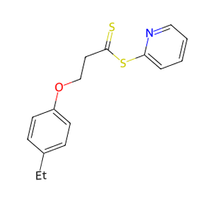 CCc1ccc(OCCC(=S)Sc2ccccn2)cc1